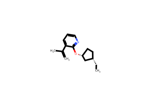 C=C(C)c1cccnc1O[C@@H]1CC[C@H](CC)C1